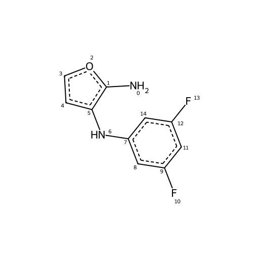 Nc1occc1Nc1cc(F)cc(F)c1